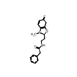 CN1C2=C(CC(=O)C=C2)OC1CCNC(=O)Cc1ccccc1